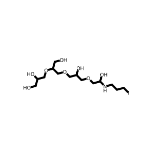 OCC(O)COC(CO)COCC(O)COCC(O)NCCCI